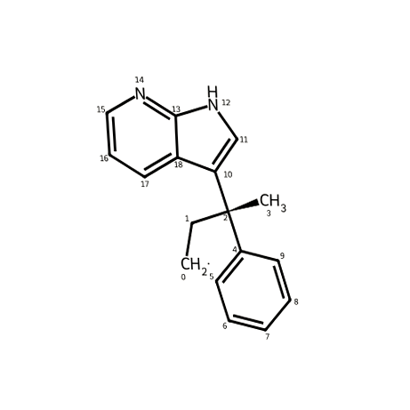 [CH2]C[C@@](C)(c1ccccc1)c1c[nH]c2ncccc12